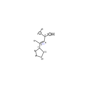 COC(O)/C=C(\C)C1CCCC1